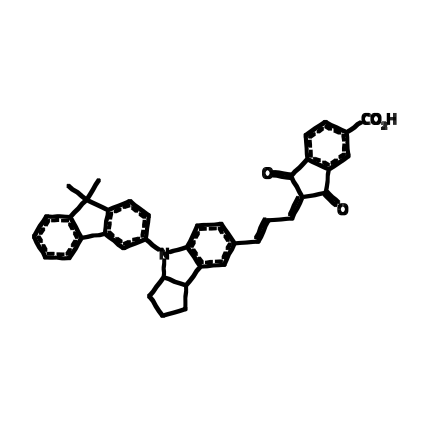 CC1(C)c2ccccc2-c2cc(N3c4ccc(/C=C/C=C5\C(=O)c6ccc(C(=O)O)cc6C5=O)cc4C4CCCC43)ccc21